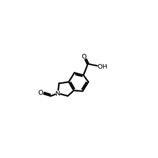 O=CN1Cc2ccc(C(=O)O)cc2C1